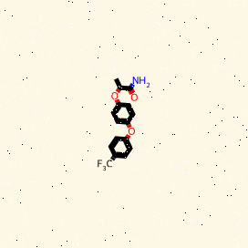 CC(Oc1ccc(Oc2ccc(C(F)(F)F)cc2)cc1)C(N)=O